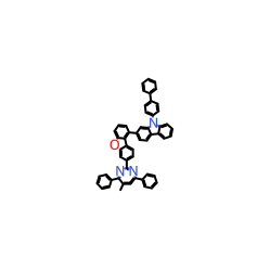 CC1=C=C(c2ccccc2)N=C(c2ccc3c(c2)oc2cccc(-c4ccc5c6ccccc6n(-c6ccc(-c7ccccc7)cc6)c5c4)c23)N=C1c1ccccc1